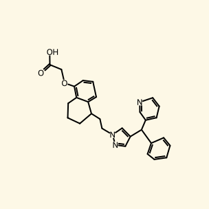 O=C(O)COc1cccc2c1CCCC2CCn1cc(C(c2ccccc2)c2cccnc2)cn1